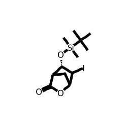 CC(C)(C)[Si](C)(C)O[C@H]1C2CC(OC2=O)C1I